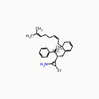 C=C(c1ccccc1)[C@@H](CC1=CC=CC[C@]1(C)C/C=C\CCC=C(C)C)C1=C(N)[C@@H]1CC